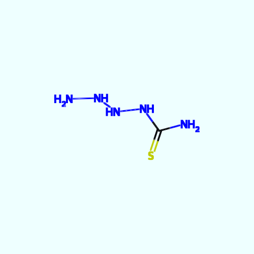 NNNNC(N)=S